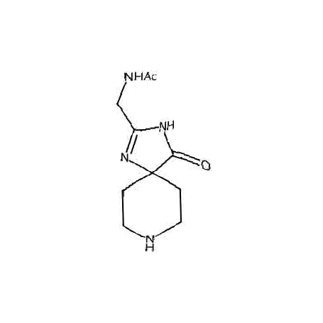 CC(=O)NCC1=NC2(CCNCC2)C(=O)N1